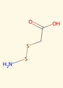 NSSCC(=O)O